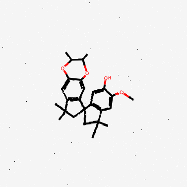 COc1cc2c(cc1O)C1(CC2(C)C)CC(C)(C)c2cc3c(cc21)OC(C)C(C)O3